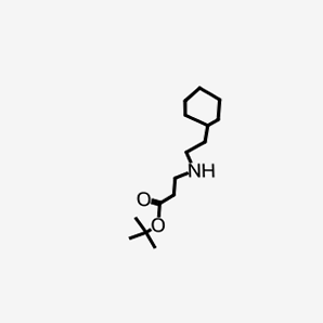 CC(C)(C)OC(=O)CCNCCC1CCCCC1